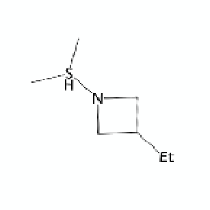 CCC1CN([SH](C)C)C1